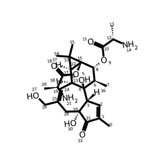 CC1=C[C@H]2[C@@]3(O)[C@H](C)[C@@H](OC(=O)[C@H](C)N)[C@]4(OC(=O)[C@H](C)N)[C@@H]([C@@H]3C=C(CO)C[C@]2(O)C1=O)C4(C)C